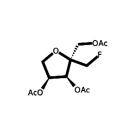 CC(=O)OC[C@@]1(CF)OC[C@H](OC(C)=O)[C@@H]1OC(C)=O